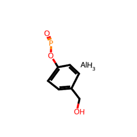 O=POc1ccc(CO)cc1.[AlH3]